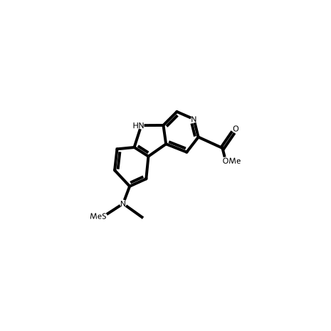 COC(=O)c1cc2c(cn1)[nH]c1ccc(N(C)SC)cc12